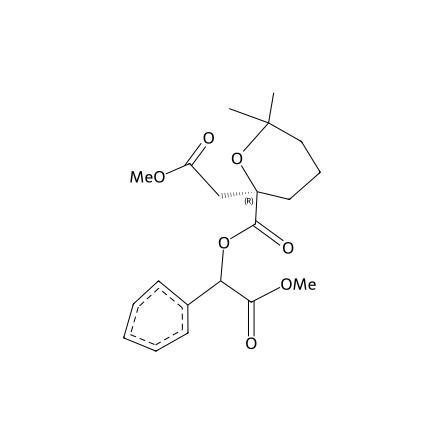 COC(=O)C[C@@]1(C(=O)OC(C(=O)OC)c2ccccc2)CCCC(C)(C)O1